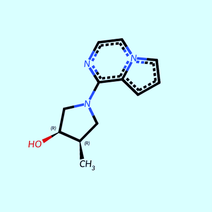 C[C@@H]1CN(c2nccn3cccc23)C[C@@H]1O